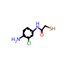 Nc1ccc(NC(=O)CS)cc1Cl